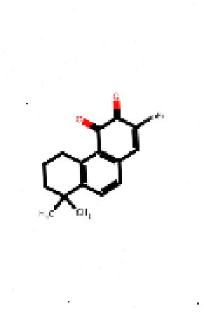 CCCC1=Cc2ccc3c(c2C(=O)C1=O)CCCC3(C)C